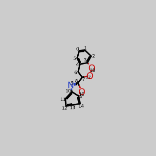 c1ccc2c(c1)CC(c1nc3ccccc3o1)OO2